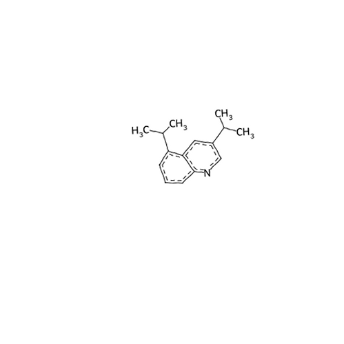 CC(C)c1cnc2cccc(C(C)C)c2c1